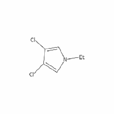 CCn1cc(Cl)c(Cl)c1